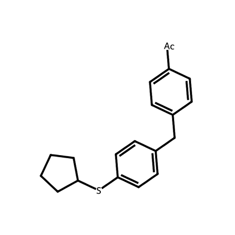 CC(=O)c1ccc(Cc2ccc(SC3CCCC3)cc2)cc1